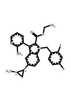 CCOC(=O)c1c(-c2cccnc2[SiH3])c2cc([C@H]3C[C@H]3C)ccc2n1Cc1ccc(F)cc1F